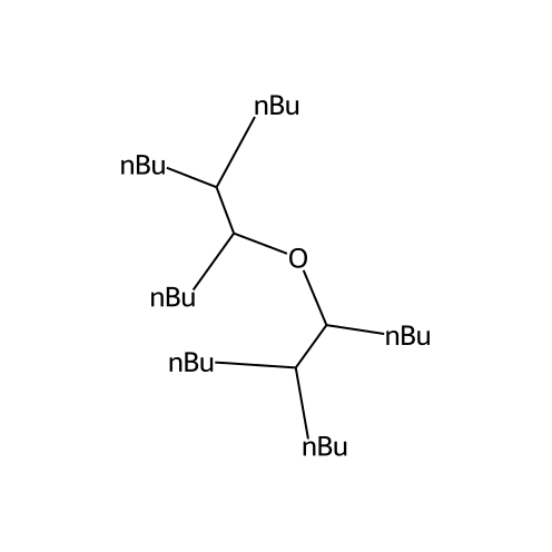 CCCCC(CCCC)C(CCCC)OC(CCCC)C(CCCC)CCCC